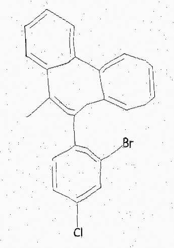 Cc1c(-c2ccc(Cl)cc2Br)c2ccccc2c2ccccc12